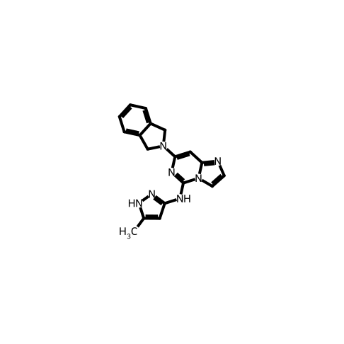 Cc1cc(Nc2nc(N3Cc4ccccc4C3)cc3nccn23)n[nH]1